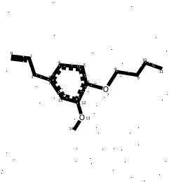 C=CCc1ccc(OCCCC)c(OC)c1